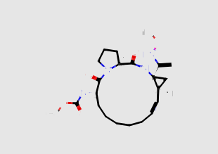 C=C(NOC(C)C)[C@@]12C[C@H]1/C=C\CCCCC[C@H](NC(=O)OC(C)(C)C)C(=O)N1CCC[C@H]1C(=O)N2